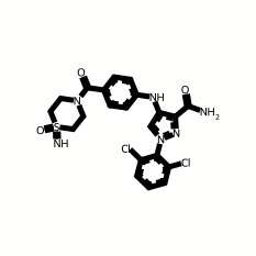 N=S1(=O)CCN(C(=O)c2ccc(Nc3cn(-c4c(Cl)cccc4Cl)nc3C(N)=O)cc2)CC1